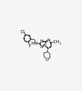 Cc1cc(C2CCOCC2)n2nc(NCc3cc(Cl)ccc3F)nc2n1